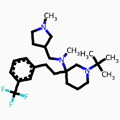 CN1CCC(CN(C)C2(CCc3cccc(C(F)(F)F)c3)CCCN(C(C)(C)C)C2)C1